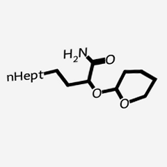 CCCCCCCCCC(OC1CCCCO1)C(N)=O